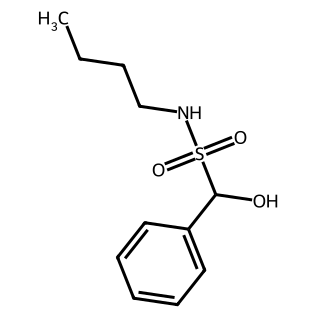 CCCCNS(=O)(=O)C(O)c1ccccc1